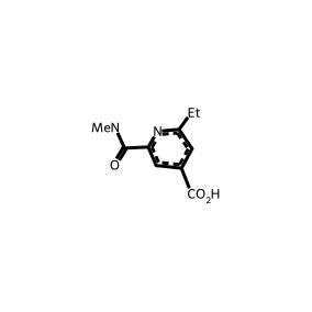 CCc1cc(C(=O)O)cc(C(=O)NC)n1